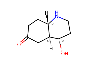 O=C1CC[C@@H]2NCC[C@H](O)[C@H]2C1